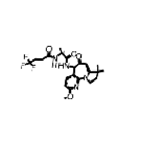 COc1ccc2c(n1)N1CCC(C)(C)C1=CC(=O)C2NC(=O)[C@H](C)NC(=O)CCC(F)(F)F